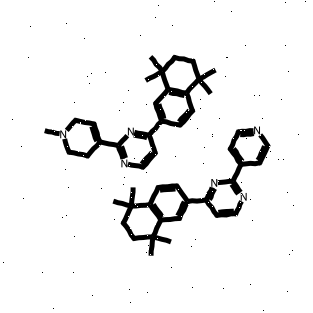 CC1(C)CCC(C)(C)c2cc(-c3ccnc(-c4ccncc4)n3)ccc21.CN1CC=C(c2nccc(-c3ccc4c(c3)C(C)(C)CCC4(C)C)n2)CC1